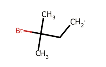 [CH2]CC(C)(C)Br